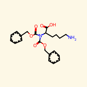 NCCCCC(C(=O)O)N(C(=O)OCc1ccccc1)C(=O)OCc1ccccc1